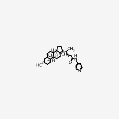 CC(CCC(=O)Nc1ccncc1)[C@H]1CC[C@H]2[C@@H]3CC=C4C[C@@H](O)CC[C@]4(C)[C@H]3CC[C@]12C